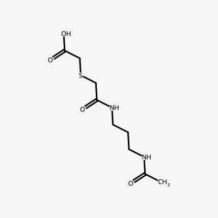 CC(=O)NCCCNC(=O)CSCC(=O)O